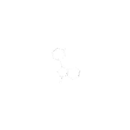 [c]1[nH]c2ccccc2c1-c1ccccc1